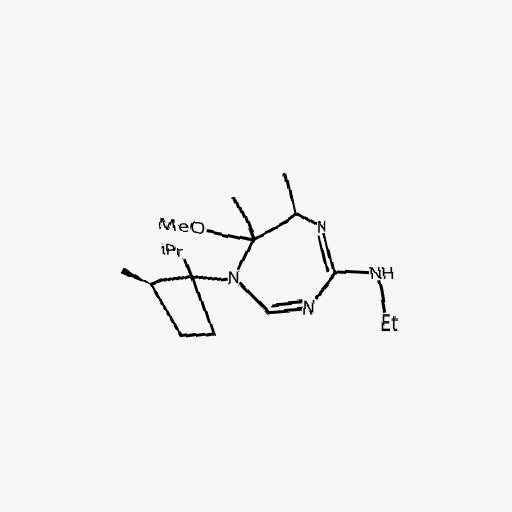 CCNC1=NC(C)C(C)(OC)N(C2(C(C)C)CC[C@H]2C)C=N1